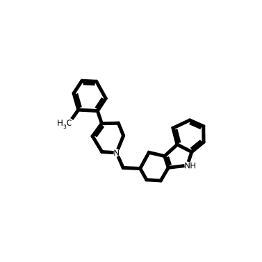 Cc1ccccc1C1=CCN(CC2CCc3[nH]c4ccccc4c3C2)CC1